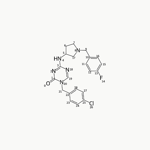 O=c1nc(NC2CCN(Cc3ccc(F)cc3)C2)ncn1Cc1ccc(Cl)cc1